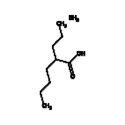 B.CCCCC(CCC)C(=O)O